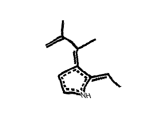 C=C(C)/C(C)=c1\cc[nH]\c1=C/C